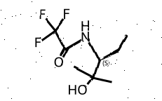 CC[C@H](NC(=O)C(F)(F)F)C(C)(C)O